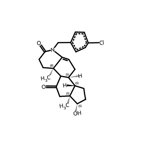 C[C@]12CC(=O)C3[C@@H](CC=C4N(Cc5ccc(Cl)cc5)C(=O)CC[C@@]43C)[C@@H]1CC[C@@H]2O